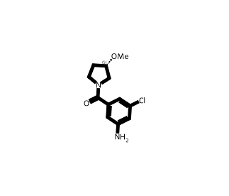 CO[C@H]1CCN(C(=O)c2cc(N)cc(Cl)c2)C1